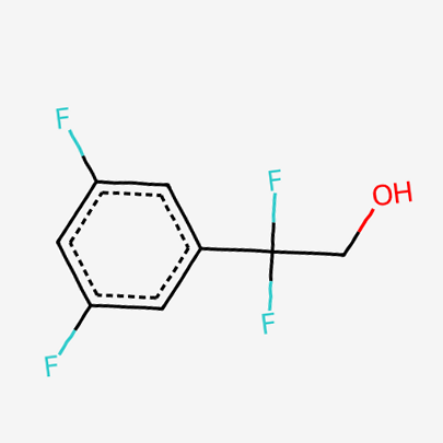 OCC(F)(F)c1cc(F)cc(F)c1